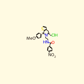 COc1ccc([C@@H]2c3sccc3C[C@@H](C)N2CCNC(=O)c2ccc([N+](=O)[O-])cc2)cc1.Cl